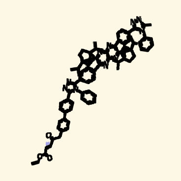 C=COC(=O)/C=C/C(=O)Cc1ccc(-c2ccc(-c3nnc(-c4ccc5c(c4)C4(c6nc7nc8c(nc7nc6-5)C5(c6cc(-c7nnc(C)n7-c7ccccc7)ccc6-8)C6(C(C)C)CCC5(C(C)C)CC6)C5(C(C)C)CCC4(C(C)C)CC5)n3-c3ccccc3)cc2)cc1